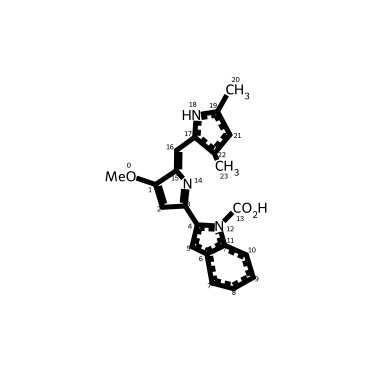 COC1=CC(c2cc3ccccc3n2C(=O)O)=NC1=Cc1[nH]c(C)cc1C